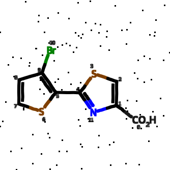 O=C(O)c1csc(-c2sccc2Br)n1